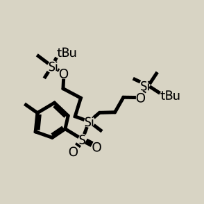 Cc1ccc(S(=O)(=O)[Si](C)(CCCO[Si](C)(C)C(C)(C)C)CCCO[Si](C)(C)C(C)(C)C)cc1